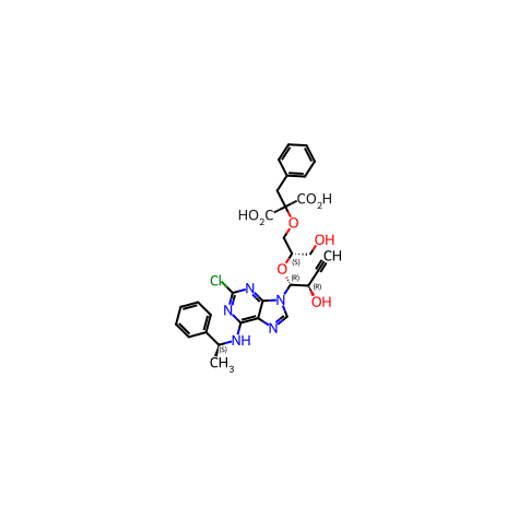 C#C[C@@H](O)[C@@H](O[C@@H](CO)COC(Cc1ccccc1)(C(=O)O)C(=O)O)n1cnc2c(N[C@@H](C)c3ccccc3)nc(Cl)nc21